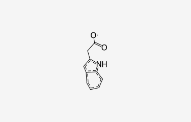 [O]C(=O)Cc1cc2ccccc2[nH]1